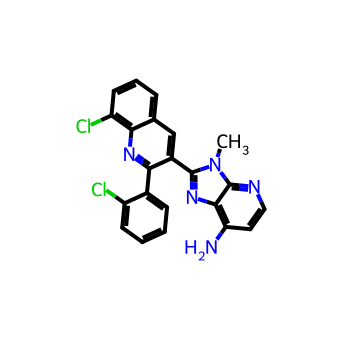 Cn1c(-c2cc3cccc(Cl)c3nc2-c2ccccc2Cl)nc2c(N)ccnc21